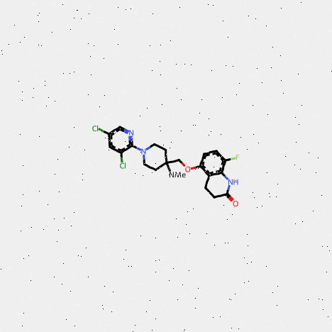 CNC1(COc2ccc(F)c3c2CCC(=O)N3)CCN(c2ncc(Cl)cc2Cl)CC1